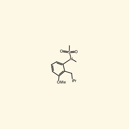 COc1cccc(N(C)S(C)(=O)=O)c1CC(C)C